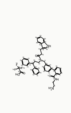 NCCNC(=O)c1ccccc1-c1cccc(CN(CCC(c2ccccc2)c2ccccc2)C(=O)CCc2c[nH]c3ccccc23)c1.O=C(O)C(F)(F)F